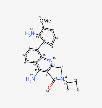 COc1cccc(-c2cccc3c(N)c4c(nc23)CN(C2CCC2)C4=O)c1N